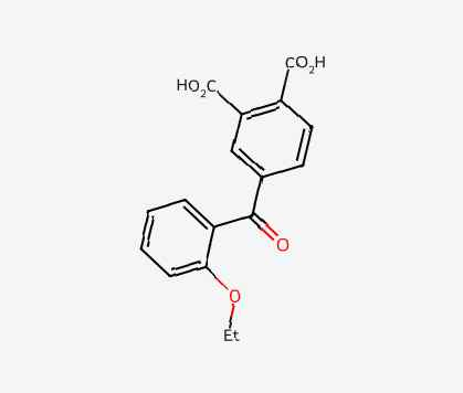 CCOc1ccccc1C(=O)c1ccc(C(=O)O)c(C(=O)O)c1